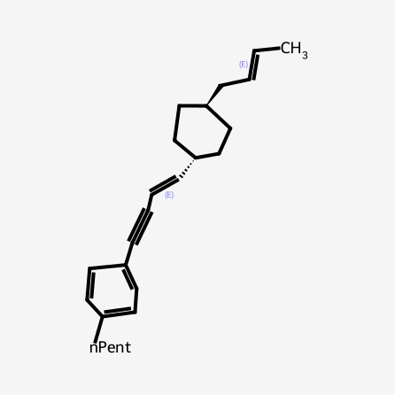 C/C=C/C[C@H]1CC[C@H](/C=C/C#Cc2ccc(CCCCC)cc2)CC1